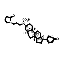 C[C@]12CC[C@H](N(CCCN3CCCC3=O)C(=O)O)C[C@H]1CC[C@@H]1[C@@H]2CC[C@]2(C)[C@@H](c3ccc(=O)oc3)CC[C@]12O